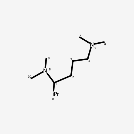 CC(C)C(CCCN(C)C)N(C)C